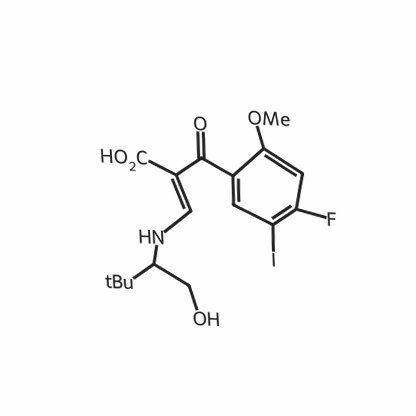 COc1cc(F)c(I)cc1C(=O)C(=CNC(CO)C(C)(C)C)C(=O)O